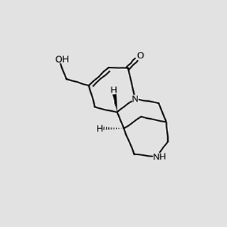 O=C1C=C(CO)C[C@H]2[C@@H]3CNCC(C3)CN12